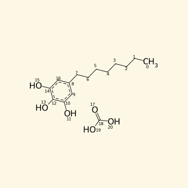 CCCCCCCCc1cc(O)c(O)c(O)c1.O=C(O)O